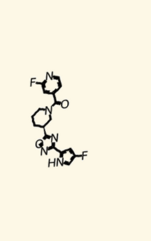 O=C(c1ccnc(F)c1)N1CCC[C@H](c2nc(-c3cc(F)c[nH]3)no2)C1